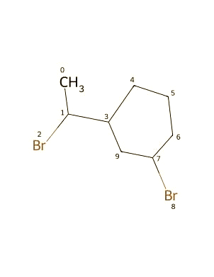 CC(Br)C1CCCC(Br)C1